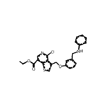 CCOC(=O)c1cnc(Cl)c2c(COc3cccc(CNc4ccccc4)c3)csc12